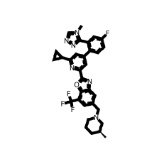 C[C@H]1CCCN(Cc2cc(C(F)(F)F)c3oc(-c4cc(-c5ccc(F)cc5-c5nncn5C)cc(C5CC5)n4)nc3c2)C1